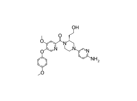 COc1ccc(Oc2cnc(C(=O)N3CCN(c4ccc(N)nc4)C[C@@H]3CCO)cc2OC)cc1